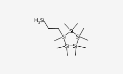 C[Si]1(C)[Si](C)(C)[Si](C)(C)[Si](C)(CC[SiH3])[Si]1(C)C